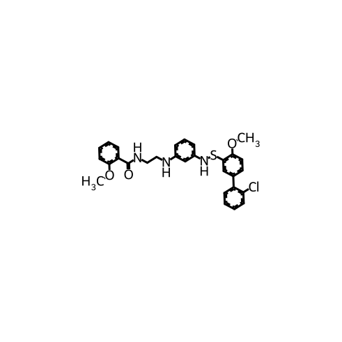 COc1ccc(-c2ccccc2Cl)cc1SNc1cccc(NCCNC(=O)c2ccccc2OC)c1